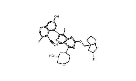 C#Cc1c(F)ccc2cc(O)cc(-c3ncc4c(N5CCOC[C@H](O)C5)nc(OC[C@@]56CCCN5C[C@H](F)C6)nc4c3F)c12